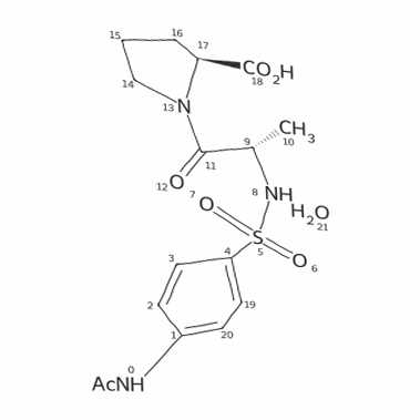 CC(=O)Nc1ccc(S(=O)(=O)N[C@@H](C)C(=O)N2CCC[C@H]2C(=O)O)cc1.O